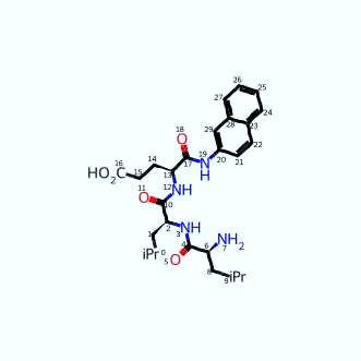 CC(C)C[C@H](NC(=O)[C@@H](N)CC(C)C)C(=O)N[C@@H](CCC(=O)O)C(=O)Nc1ccc2ccccc2c1